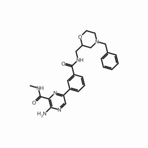 CNC(=O)c1nc(-c2cccc(C(=O)NCC3CN(Cc4ccccc4)CCO3)c2)cnc1N